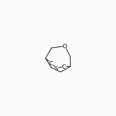 C1CC2COCC1CSC2